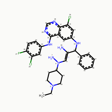 CCN1CCC(N(N)/C=C(\N)C(Nc2cc(Cl)c3ncnc(Nc4ccc(F)c(Cl)c4)c3c2)c2ccccc2)CC1